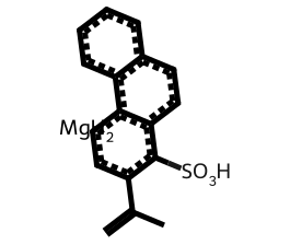 C=C(C)c1ccc2c(ccc3ccccc32)c1S(=O)(=O)O.[MgH2]